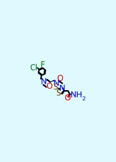 CC(=O)N(C[C@@H]1CN(Cc2ccc(F)c(Cl)c2)CCO1)Sc1nc(CC(N)=O)cs1